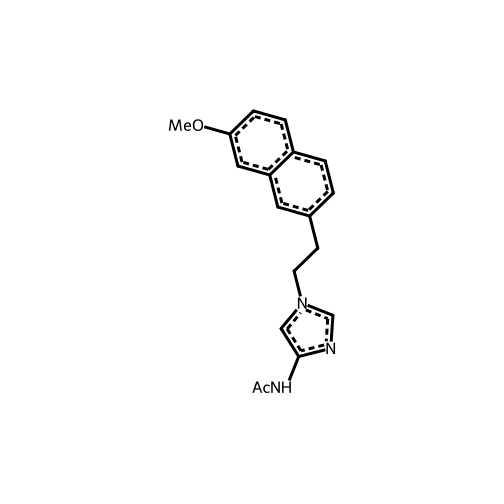 COc1ccc2ccc(CCn3cnc(NC(C)=O)c3)cc2c1